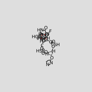 CC(C)[Si](O)(O[Si](O[C@H]1[C@H]2O[P@@](=O)(S)OC[C@H]3C[C@@H](Oc4ccncn4)C[C@@H]3O[P@@](=O)(S)OC[C@H]1O[C@H]2n1cc(F)c2c(=O)[nH]cnc21)(C(C)C)C(C)C)C(C)C